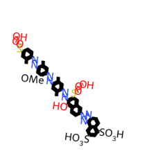 COc1cc(N=Nc2ccc(SOOO)cc2C)c(C)cc1N=Nc1cc(C)c(N=Nc2c(SOOO)cc3cc(-n4nc5ccc6c(S(=O)(=O)O)cc(S(=O)(=O)O)cc6c5n4)ccc3c2O)cc1C